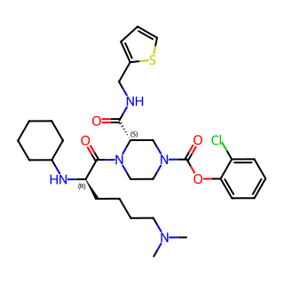 CN(C)CCCC[C@@H](NC1CCCCC1)C(=O)N1CCN(C(=O)Oc2ccccc2Cl)C[C@H]1C(=O)NCc1cccs1